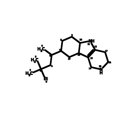 CCC(C)(C)CC(C)C1CCC2NC3=C(CNCC3)C2C1